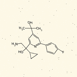 CC(C)(O)c1cc(-c2ccc(F)cc2)nc(C(O)(CN)C2CC2)c1